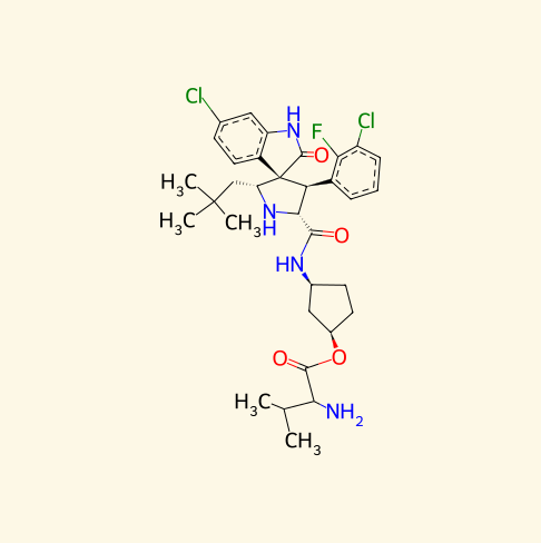 CC(C)C(N)C(=O)O[C@@H]1CC[C@H](NC(=O)[C@@H]2N[C@H](CC(C)(C)C)[C@]3(C(=O)Nc4cc(Cl)ccc43)[C@H]2c2cccc(Cl)c2F)C1